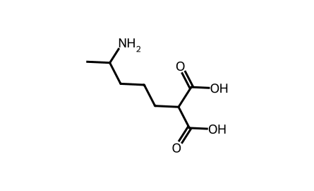 CC(N)CCCC(C(=O)O)C(=O)O